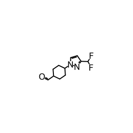 O=CC1CCC(n2ccc(C(F)F)n2)CC1